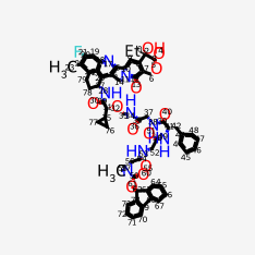 CC[C@@]1(O)C(=O)OCc2c1cc1n(c2=O)Cc2c-1nc1cc(F)c(C)c3c1c2[C@@H](NC(=O)[C@H](OCNC(=O)CNC(=O)[C@H](Cc1ccccc1)NC(=O)CNC(=O)CN(C)C(=O)OC1c2ccccc2-c2ccccc21)C1CC1)CC3